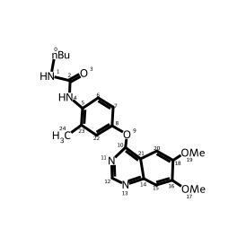 CCCCNC(=O)Nc1ccc(Oc2ncnc3cc(OC)c(OC)cc23)cc1C